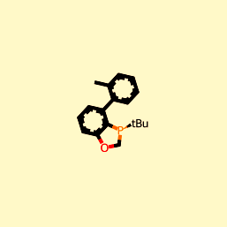 Cc1ccccc1-c1cccc2c1[P@@](C(C)(C)C)CO2